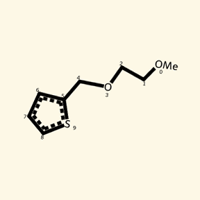 COCCOCc1cccs1